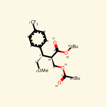 COC[C@H](c1ccc(C(F)(F)F)cc1)[C@H](COC(=O)C(C)(C)C)C(=O)OC(C)(C)C